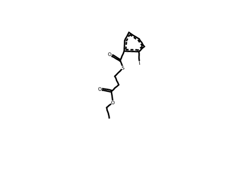 CCOC(=O)CCSC(=O)c1ccccc1I